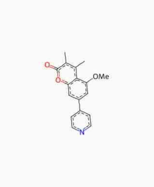 COc1cc(-c2ccncc2)cc2oc(=O)c(C)c(C)c12